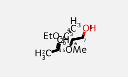 C=CC.CCOC(C)=O.COCCO